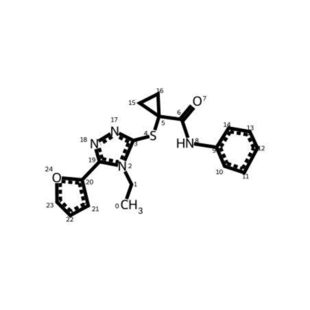 CCn1c(SC2(C(=O)Nc3ccccc3)CC2)nnc1-c1ccco1